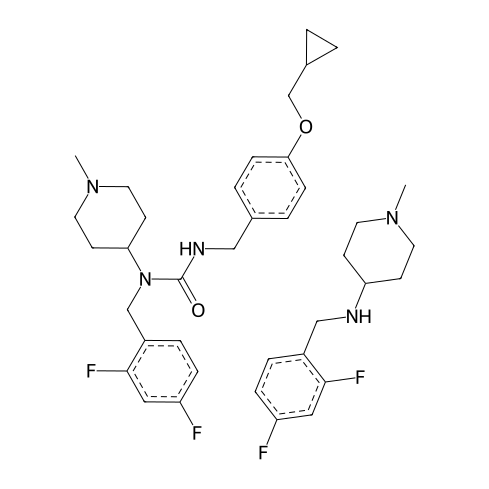 CN1CCC(N(Cc2ccc(F)cc2F)C(=O)NCc2ccc(OCC3CC3)cc2)CC1.CN1CCC(NCc2ccc(F)cc2F)CC1